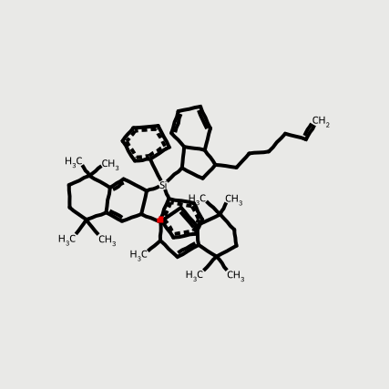 C=CCCCCC1CC([Si](c2ccccc2)(c2ccccc2)C2C=C3C(=CC2C2C=C4C(=CC2C)C(C)(C)CCC4(C)C)C(C)(C)CCC3(C)C)C2C=CC=CC12